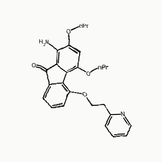 CCCOc1cc(OCCC)c2c(c1N)C(=O)c1cccc(OCCc3ccccn3)c1-2